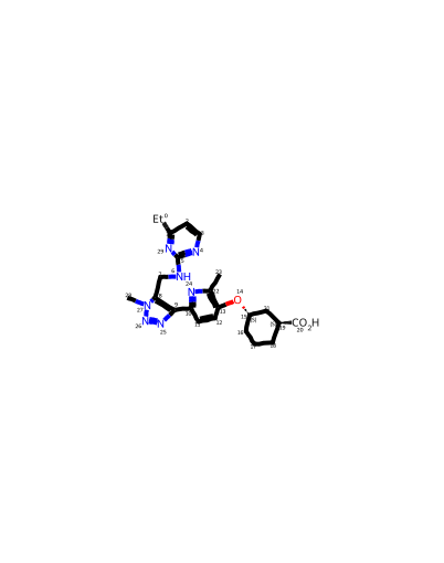 CCc1ccnc(NCc2c(-c3ccc(O[C@H]4CCC[C@H](C(=O)O)C4)c(C)n3)nnn2C)n1